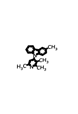 Cc1ccc2c(c1)c1ccccc1n2-c1cc(C)nc(C)c1C